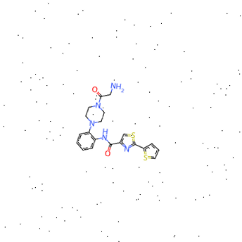 NCC(=O)N1CCN(c2ccccc2NC(=O)c2csc(-c3cccs3)n2)CC1